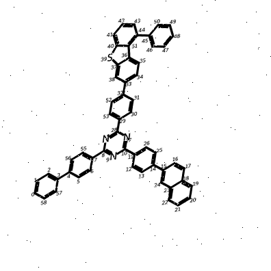 c1ccc(-c2ccc(-c3nc(-c4ccc(-c5ccc6ccccc6c5)cc4)nc(-c4ccc(-c5ccc6c(c5)sc5cccc(-c7ccccc7)c56)cc4)n3)cc2)cc1